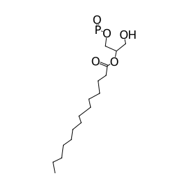 CCCCCCCCCCCCCC(=O)OC(CO)COP=O